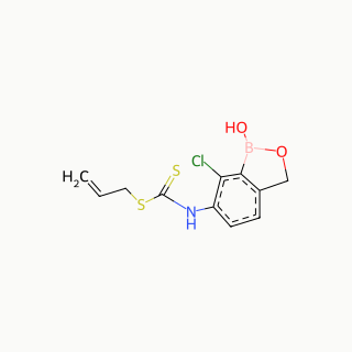 C=CCSC(=S)Nc1ccc2c(c1Cl)B(O)OC2